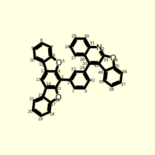 c1cc(-c2c3oc4ccccc4c3cc3c2oc2ccccc23)cc(-c2c3ccccc3nc3oc4ccccc4c23)c1